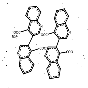 O=C([O-])c1c(-c2cnc3ccccc3c2C(=O)[O-])cnc2ccccc12.O=C([O-])c1c(-c2cnc3ccccc3c2C(=O)[O-])cnc2ccccc12.[Ru+4]